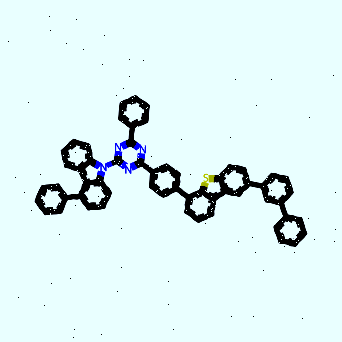 c1ccc(-c2cccc(-c3ccc4sc5c(-c6ccc(-c7nc(-c8ccccc8)nc(-n8c9ccccc9c9c(-c%10ccccc%10)cccc98)n7)cc6)cccc5c4c3)c2)cc1